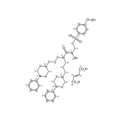 CCOc1ccc(S(=O)(=O)CCN(C(=O)N(CCCN2CCN(c3ccccc3)CC2)CCCN2CCN(c3ccccc3)CC2)C(C)C)cc1.O=C(O)C=CC(=O)O